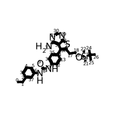 CCc1cccc(NC(=O)Nc2ccc(-c3c(CCO[Si](C)(C)C(C)(C)C)sc4ncnc(N)c34)cc2)c1